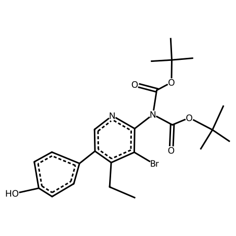 CCc1c(-c2ccc(O)cc2)cnc(N(C(=O)OC(C)(C)C)C(=O)OC(C)(C)C)c1Br